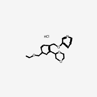 CCOCC1C=CC(COc2cccnc2)=C(C2COCCO2)C1.Cl